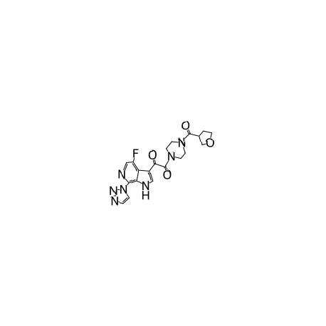 O=C(C(=O)N1CCN(C(=O)C2CCOC2)CC1)c1c[nH]c2c(-n3ccnn3)ncc(F)c12